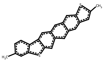 Cc1ccc2c(c1)sc1cc3cc4cc5cc(C)sc5cc4cc3cc12